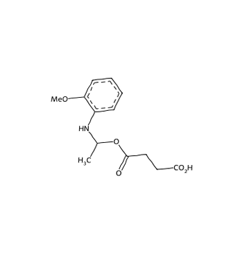 COc1ccccc1NC(C)OC(=O)CCC(=O)O